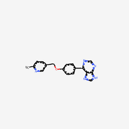 N#Cc1ccc(COc2ccc(-c3ncnc4[nH]cnc34)cc2)cn1